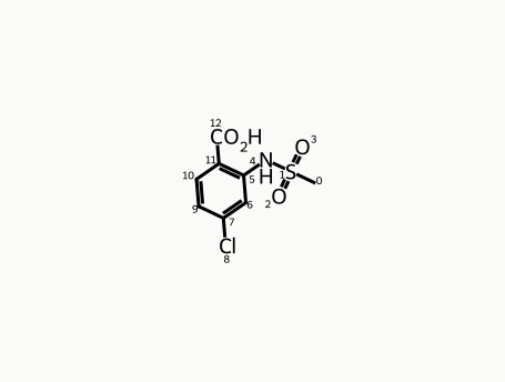 CS(=O)(=O)Nc1cc(Cl)ccc1C(=O)O